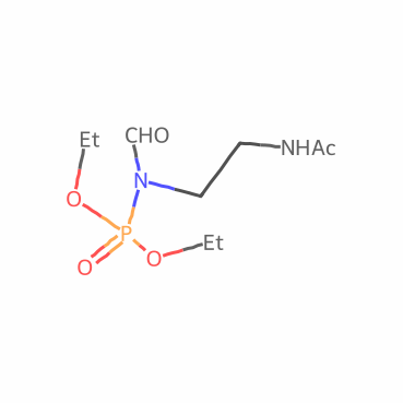 CCOP(=O)(OCC)N(C=O)CCNC(C)=O